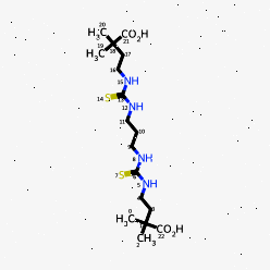 CC(C)(CCNC(=S)NCCCNC(=S)NCCC(C)(C)C(=O)O)C(=O)O